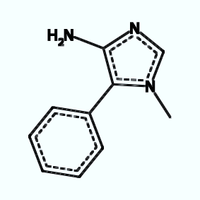 Cn1cnc(N)c1-c1ccccc1